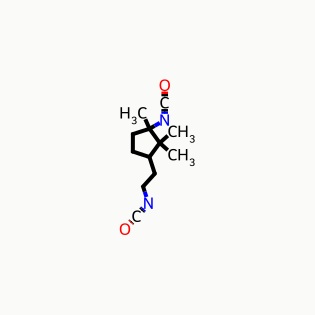 CC1(N=C=O)CCC(CCN=C=O)C1(C)C